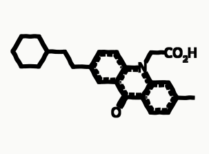 Cc1ccc2c(=O)c3cc(CCC4CCCCC4)ccc3n(CC(=O)O)c2c1